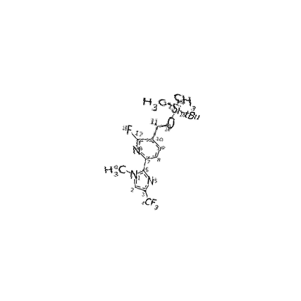 Cn1cc(C(F)(F)F)nc1-c1ccc(CO[Si](C)(C)C(C)(C)C)c(F)n1